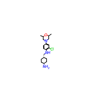 CC1CN(c2ccc(NC[C@H]3CC[C@H](N)CC3)c(Cl)c2)CC(C)O1